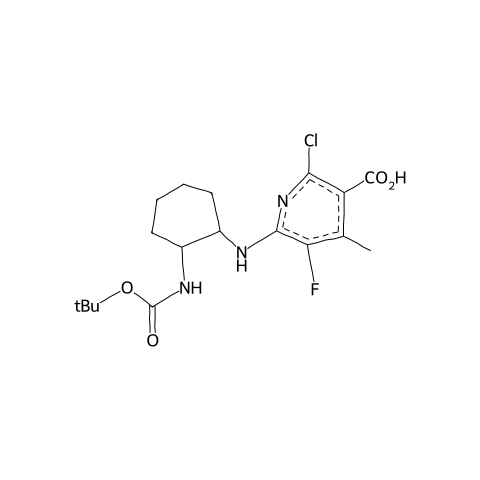 Cc1c(F)c(NC2CCCCC2NC(=O)OC(C)(C)C)nc(Cl)c1C(=O)O